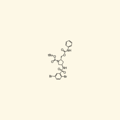 CC(C)(C)OC(=O)N1C[C@H](NS(=O)(=O)c2cc(Br)ccc2Br)C[C@@H]1COC(=O)Nc1ccccc1